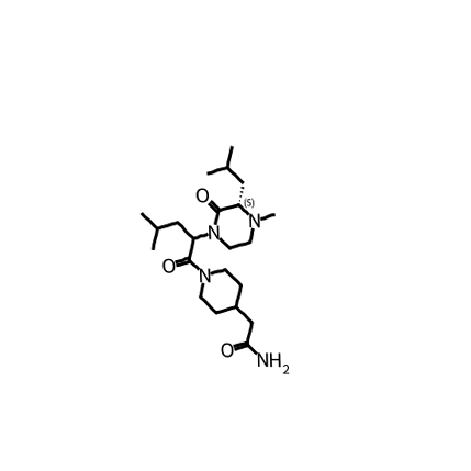 CC(C)CC(C(=O)N1CCC(CC(N)=O)CC1)N1CCN(C)[C@@H](CC(C)C)C1=O